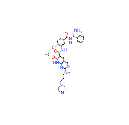 CN1CCN(CCCNc2ncc3cc(C(=O)Nc4cc(C(=O)NC(CN)c5ccccc5)ccc4Cl)c(=O)[nH]c3n2)CC1.Cl